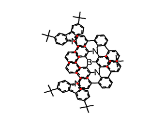 CC(C)(C)c1cc2c3c(c1)N(c1c(-c4ccccc4)cccc1-c1ccccc1)c1cc(-n4c5ccc(C(C)(C)C)cc5c5cc(C(C)(C)C)ccc54)cc(-c4ccccc4)c1B3c1c(-c3ccccc3)cc(-n3c4ccc(C(C)(C)C)cc4c4cc(C(C)(C)C)ccc43)cc1N2c1c(-c2ccccc2)cccc1-c1ccccc1